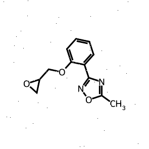 Cc1nc(-c2ccccc2OCC2CO2)no1